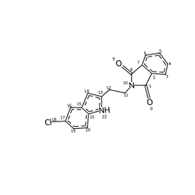 O=C1c2ccccc2C(=O)N1CCc1cc2cc(Cl)ccc2[nH]1